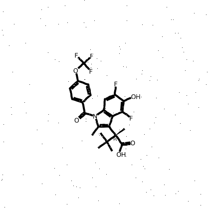 Cc1c([C@](C)(C(=O)O)C(C)(C)C)c2c(F)c(O)c(F)cc2n1C(=O)c1ccc(OC(F)(F)F)cc1